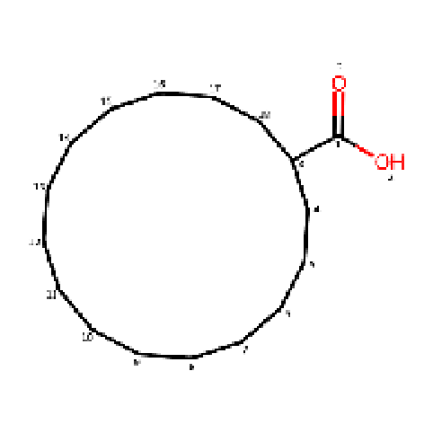 O=C(O)C1CCCCCCCCCCCCCCC1